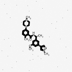 Cc1ccc(N2CCN(C)CC2)cc1C(=O)N[C@H](C)c1cc(OC(F)(F)F)cc(-c2cnn(C)c2)c1